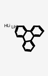 [LiH].[LiH].c1ccc2c(c1)c1ccccc1c1ccccc21